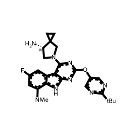 CNc1cc(F)cc2c1[nH]c1nc(Oc3cnc(C(C)(C)C)nc3)nc(N3C[C@H](N)C4(CC4)C3)c12